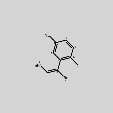 CCC/C=C(/Br)c1cc(C#N)ccc1C